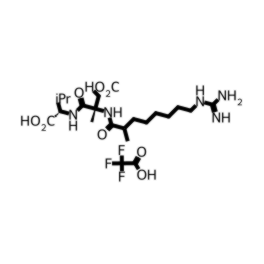 CC(CCCCCCNC(=N)N)C(=O)N[C@@](C)(CC(=O)O)C(=O)N[C@H](C(=O)O)C(C)C.O=C(O)C(F)(F)F